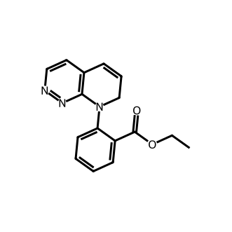 CCOC(=O)c1ccccc1N1CC=Cc2ccnnc21